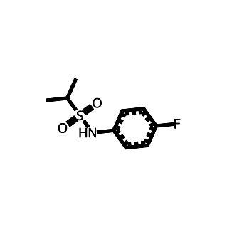 CC(C)S(=O)(=O)Nc1ccc(F)cc1